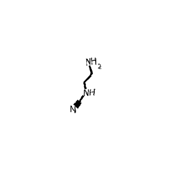 N#CNCCN